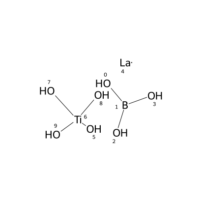 OB(O)O.[La].[OH][Ti]([OH])([OH])[OH]